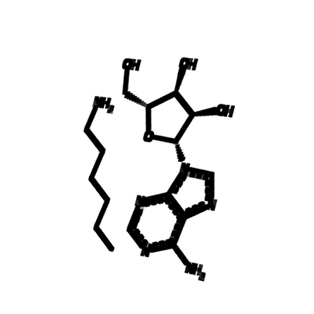 CCCCCCN.Nc1ncnc2c1ncn2[C@@H]1O[C@H](CO)[C@@H](O)[C@H]1O